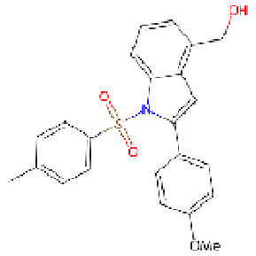 COc1ccc(-c2cc3c(CO)cccc3n2S(=O)(=O)c2ccc(C)cc2)cc1